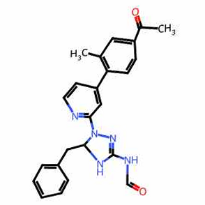 CC(=O)c1ccc(-c2ccnc(N3N=C(NC=O)NC3Cc3ccccc3)c2)c(C)c1